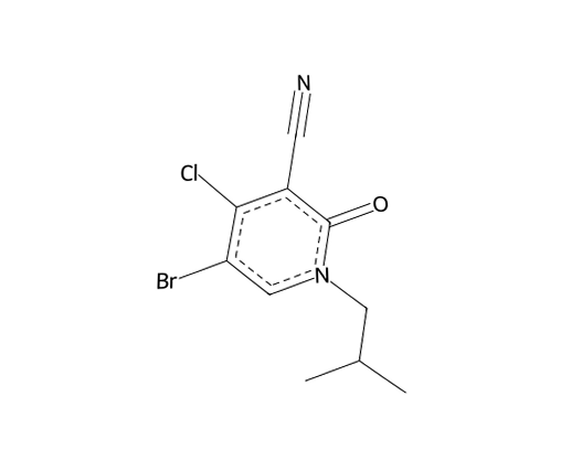 CC(C)Cn1cc(Br)c(Cl)c(C#N)c1=O